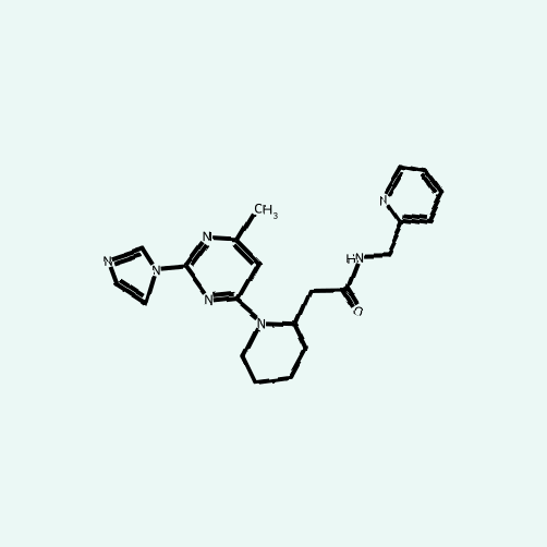 Cc1cc(N2CCCCC2CC(=O)NCc2ccccn2)nc(-n2ccnc2)n1